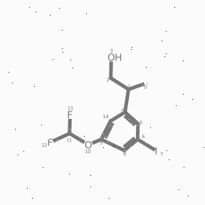 [CH2]C(CO)c1cc(I)cc(OC(F)F)c1